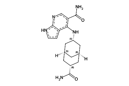 NC(=O)c1cnc2[nH]ccc2c1N[C@H]1C[C@H]2C[C@@H](C1)C[C@H](C(N)=O)C2